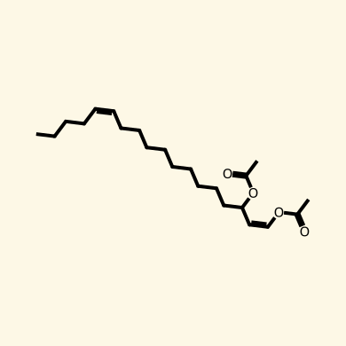 CCCC/C=C\CCCCCCCCCC(/C=C\OC(C)=O)OC(C)=O